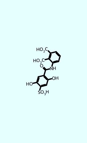 O=C(Nc1cccc(C(=O)O)c1C(=O)O)c1cc(O)c(S(=O)(=O)O)cc1O